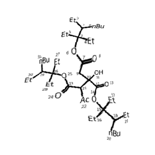 CCCCC(CC)C(CC)(CC)OC(=O)CC(O)(C(=O)OC(CC)(CC)C(CC)CCCC)C(C(C)=O)C(=O)OC(CC)(CC)C(CC)CCCC